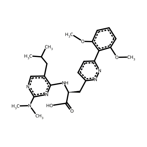 COc1cccc(OC)c1-c1ccc(C[C@H](Nc2nc(N(C)C)ncc2CC(C)C)C(=O)O)nn1